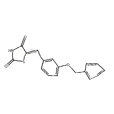 O=C1NC(=O)/C(=C/c2cccc(OCc3ccccc3)c2)S1